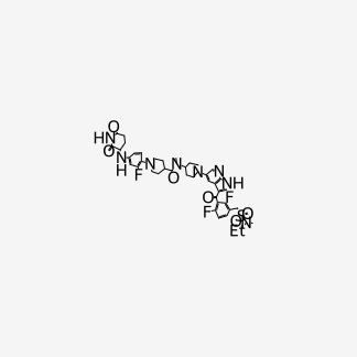 CCN(C)S(=O)(=O)Cc1ccc(F)c(C(=O)c2c[nH]c3ncc(N4CCC(N(C)C(=O)C5CCN(c6ccc(NC7CCC(=O)NC7=O)cc6F)CC5)CC4)cc23)c1F